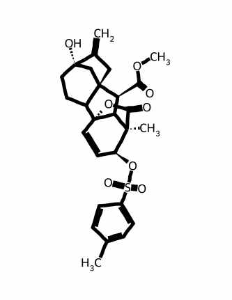 C=C1C[C@]23C[C@@]1(O)CCC2[C@@]12C=C[C@H](OS(=O)(=O)c4ccc(C)cc4)[C@](C)(C(=O)O1)C2[C@@H]3C(=O)OC